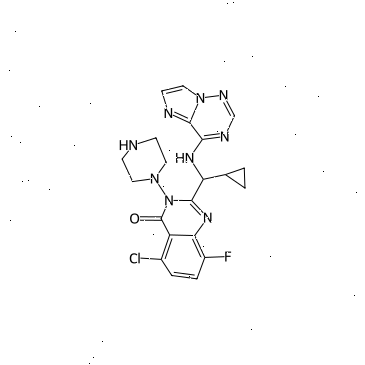 O=c1c2c(Cl)ccc(F)c2nc(C(Nc2ncnn3ccnc23)C2CC2)n1N1CCNCC1